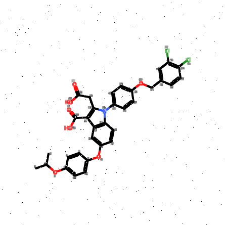 CC(C)Oc1ccc(Oc2ccc3c(c2)c(C(=O)O)c(CC(=O)O)n3-c2ccc(OCc3ccc(Cl)c(Cl)c3)cc2)cc1